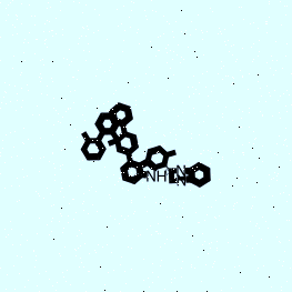 CC1CC=CC=C1c1ccccc1C1(C)C=C(c2cccc3[nH]c4c(c23)C=CC(C)C4[C@H]2Cn3c4ccccc4n32)C=CC1c1ccccc1